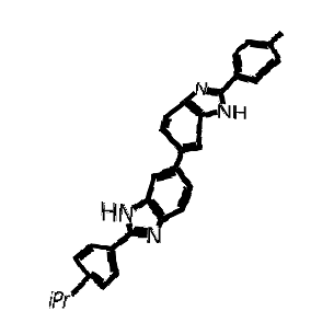 Cc1ccc(-c2nc3ccc(-c4ccc5nc(-c6ccc(C(C)C)cc6)[nH]c5c4)cc3[nH]2)cc1